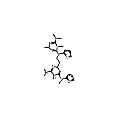 CC1N=C(N(C)C)N(C)C(N(CCC2N=C(N(C)C)NC(N(C)c3ccco3)=N2)c2ccco2)=N1